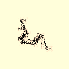 OCCCC(O)COCC(F)(F)OC(F)(F)OC(F)(F)C(F)(F)OC(F)(F)COCC(O)COCC(F)(F)OC(F)(F)OC(F)(F)C(F)(F)OC(F)(F)COCC(O)COCCO